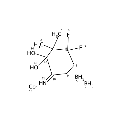 B.B.CC1(C)C(F)(F)CCC(=N)C1(O)O.[Co]